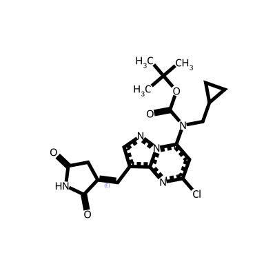 CC(C)(C)OC(=O)N(CC1CC1)c1cc(Cl)nc2c(/C=C3\CC(=O)NC3=O)cnn12